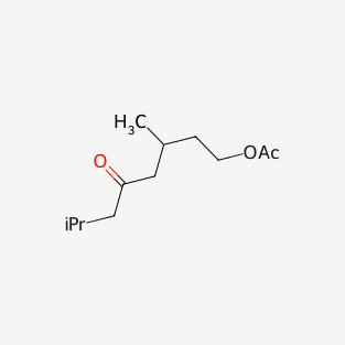 CC(=O)OCCC(C)CC(=O)CC(C)C